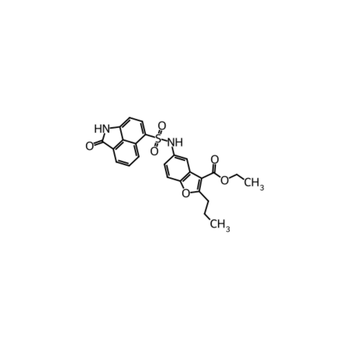 CCCc1oc2ccc(NS(=O)(=O)c3ccc4c5c(cccc35)C(=O)N4)cc2c1C(=O)OCC